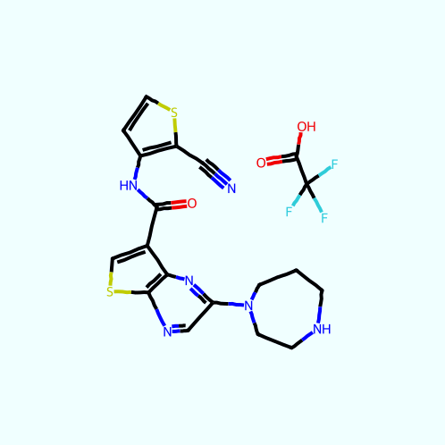 N#Cc1sccc1NC(=O)c1csc2ncc(N3CCCNCC3)nc12.O=C(O)C(F)(F)F